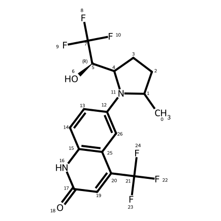 CC1CCC([C@@H](O)C(F)(F)F)N1c1ccc2[nH]c(=O)cc(C(F)(F)F)c2c1